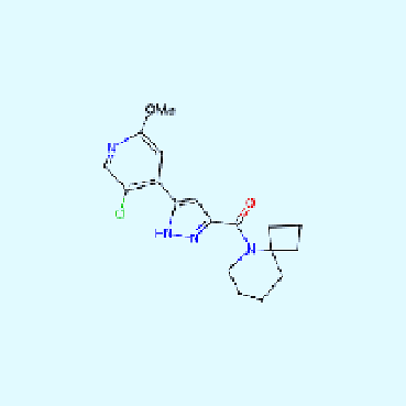 COc1cc(-c2cc(C(=O)N3CCCCC34CCC4)n[nH]2)c(Cl)cn1